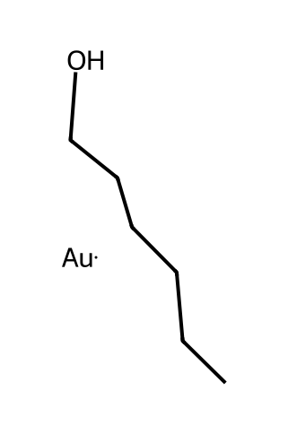 CCCCCCO.[Au]